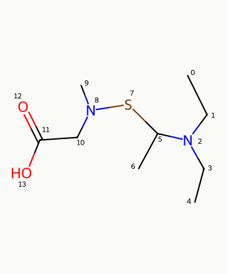 CCN(CC)C(C)SN(C)CC(=O)O